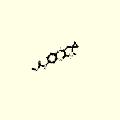 COC(=O)Nc1ccc(NC(CC2(OC)CC2)C(=O)O)cc1